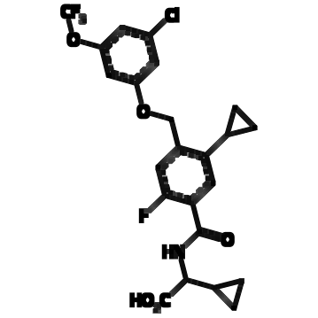 O=C(NC(C(=O)O)C1CC1)c1cc(C2CC2)c(COc2cc(Cl)cc(OC(F)(F)F)c2)cc1F